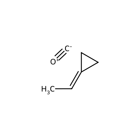 CC=C1CC1.[C-]#[O+]